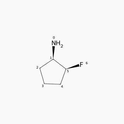 N[C@@H]1CCC[C@@H]1F